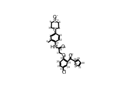 Cc1cc(N2CC[S+]([O-])CC2)ccc1NC(=O)COc1ccc(Cl)cc1C(=O)c1cccs1